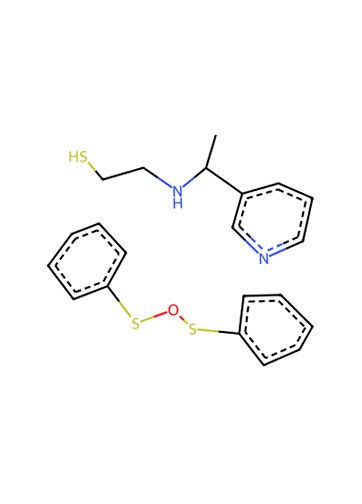 CC(NCCS)c1cccnc1.c1ccc(SOSc2ccccc2)cc1